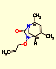 C=CCON1C(=O)N2C[C@@H]1C(C)=C[C@H]2C